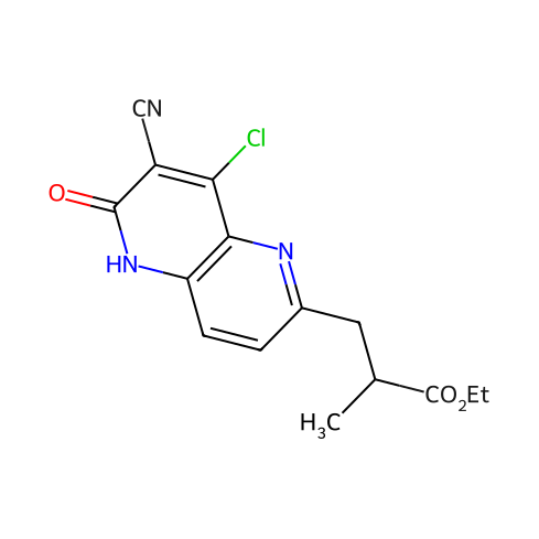 CCOC(=O)C(C)Cc1ccc2[nH]c(=O)c(C#N)c(Cl)c2n1